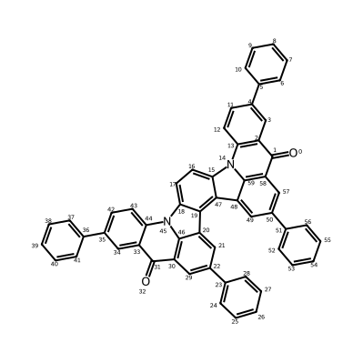 O=c1c2cc(-c3ccccc3)ccc2n2c3ccc4c(c5cc(-c6ccccc6)cc6c(=O)c7cc(-c8ccccc8)ccc7n4c65)c3c3cc(-c4ccccc4)cc1c32